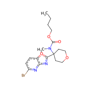 CCCCOC(=O)N(C)C1(c2nc3nc(Br)ccc3o2)CCOCC1